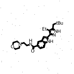 CCc1c(-c2cc3cc(C(=O)NCCN4CCOCC4)ccc3[nH]2)n[nH]c1CC(C)(C)C